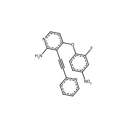 Nc1nccc(Oc2ccc([N+](=O)[O-])cc2F)c1C#Cc1ccccn1